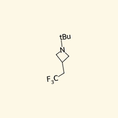 CC(C)(C)N1CC(CC(F)(F)F)C1